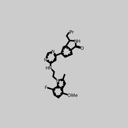 COc1ccc(F)c2c1cc(C)n2CCNc1cc(-c2ccc3c(c2)C(CC(C)C)NC3=O)ncn1